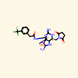 C[C@]1(O)C(NC(=O)Cc2cccc(C(F)(F)F)c2)CN2C(=N)N[C@@H](CN3C(=O)CCC3=O)C3NC(N)NC321